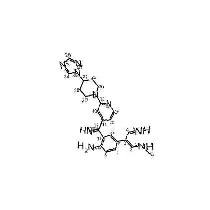 CN/C=C(\C=N)c1ccc(N)c(C(=N)c2ccnc(N3CCC(n4cncn4)CC3)c2)c1